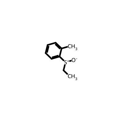 CC[S+]([O-])c1ccccc1C